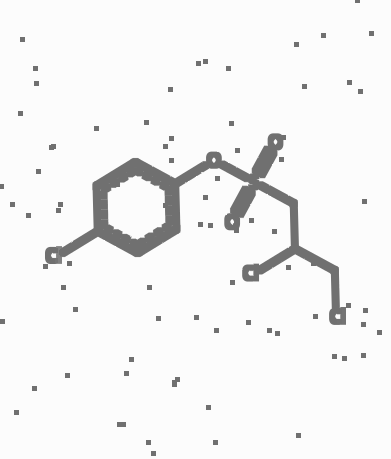 O=S(=O)(CC(Cl)CCl)Oc1ccc(Cl)cc1